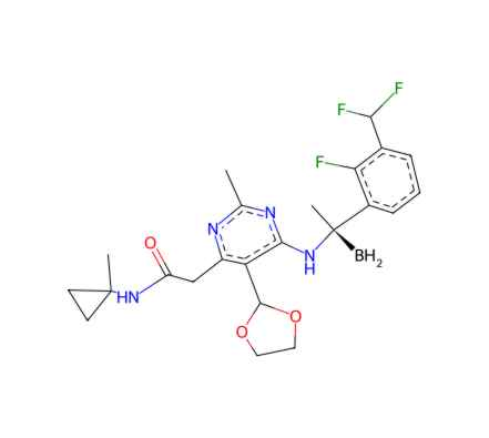 B[C@](C)(Nc1nc(C)nc(CC(=O)NC2(C)CC2)c1C1OCCO1)c1cccc(C(F)F)c1F